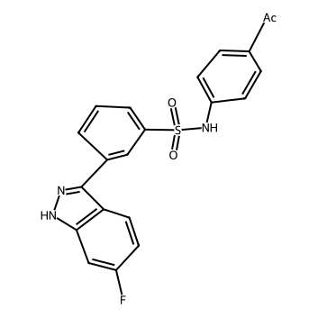 CC(=O)c1ccc(NS(=O)(=O)c2cccc(-c3n[nH]c4cc(F)ccc34)c2)cc1